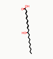 CCCCCCCCCC(O)CC=CC=CC=CC=CC(=O)O